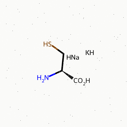 N[C@@H](CS)C(=O)O.[KH].[NaH]